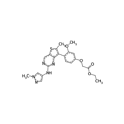 CCOC(=O)COc1ccc(-c2c(C)sc3cnc(Nc4cnn(C)c4)nc23)c(OC)c1